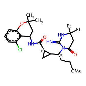 CCC1(CC)CC(=O)N([C@H](CCOC)C2C[C@H]2C(=O)NC2CC(C)(C)Oc3cccc(Cl)c32)C(=N)N1